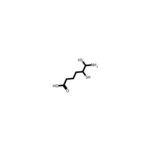 NC(S)C(S)CCCC(=O)O